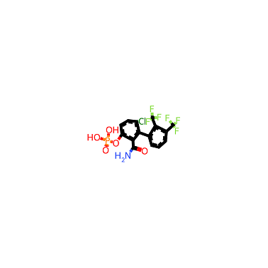 NC(=O)c1c(OP(=O)(O)O)ccc(Cl)c1-c1cccc(C(F)(F)F)c1C(F)(F)F